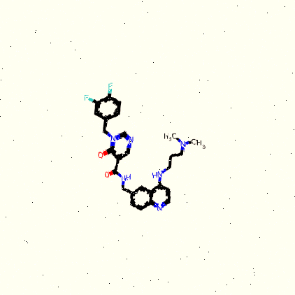 CN(C)CCCNc1ccnc2ccc(CNC(=O)c3cncn(Cc4ccc(F)c(F)c4)c3=O)cc12